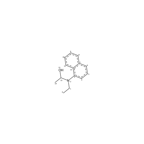 CCN(c1cccc2ccccc12)C(C)O